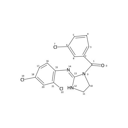 O=C(c1cccc(Cl)c1)N1CCNC1=Nc1ccc(Cl)cc1Cl